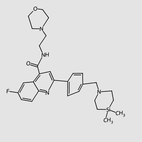 C[Si]1(C)CCN(Cc2ccc(-c3cc(C(=O)NCCN4CCOCC4)c4cc(F)ccc4n3)cc2)CC1